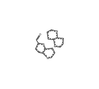 O=Cc1ccc2ncccc2n1.c1cnc2cccnc2c1